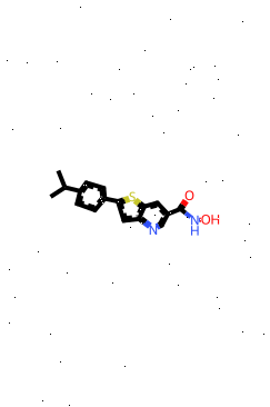 CC(C)c1ccc(-c2cc3ncc(C(=O)NO)cc3s2)cc1